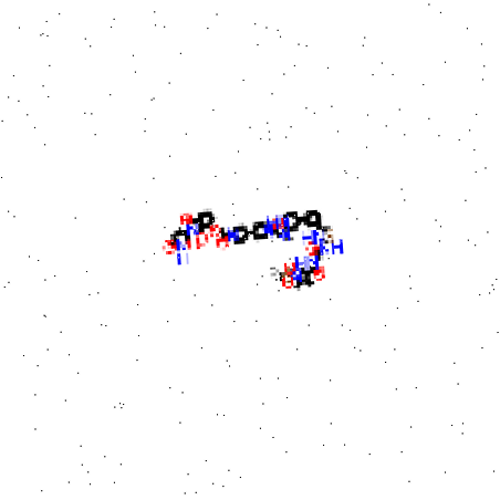 CC1C(C(=O)NCC(=O)NC2NC(c3cccc(C4CCNC(N(C)CC(=O)N5CCC(C6CCN(C(=O)COc7cccc8c7C(=O)N(C7CCC(=O)NC7=O)C8=O)CC6)CC5)C4)c3)CS2)CN(S(=O)(=O)C(C)C)C1C